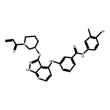 C=CC(=O)N1CCC[C@@H](Oc2n[nH]c3nccc(Nc4cccc(C(=O)Nc5ccc(C(C)C)c(C)c5)c4)c23)C1